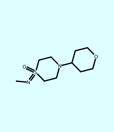 CN=S1(=O)CCN(C2CCOCC2)CC1